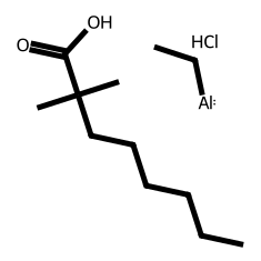 CCCCCCC(C)(C)C(=O)O.C[CH2][Al].Cl